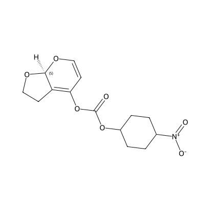 O=C(OC1=C2CCO[C@H]2OC=C1)OC1CCC([N+](=O)[O-])CC1